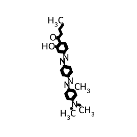 CCCCC(=O)c1ccc(/N=N/c2ccc(/N=N/c3ccc(N(CC)CC)cc3C)cc2)cc1O